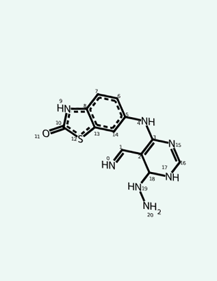 N=CC1=C(Nc2ccc3[nH]c(=O)sc3c2)N=CNC1NN